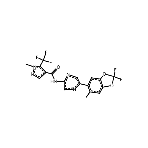 Cc1cc2c(cc1-c1cnc(NC(=O)c3cnn(C)c3C(F)(F)F)cn1)OC(F)(F)O2